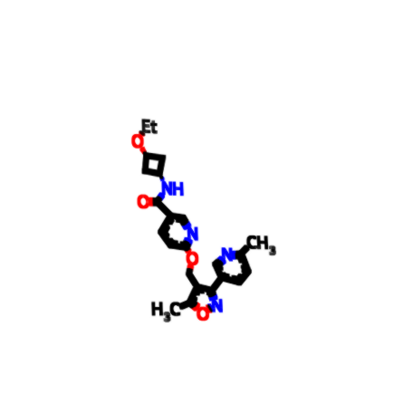 CCO[C@H]1C[C@H](NC(=O)c2ccc(OCc3c(-c4ccc(C)nc4)noc3C)nc2)C1